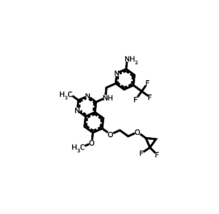 COc1cc2nc(C)nc(NCc3cc(C(F)(F)F)cc(N)n3)c2cc1OCCOC1CC1(F)F